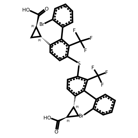 O=C(O)[C@@H]1C[C@H]1c1ccc(Sc2ccc([C@@H]3C[C@H]3C(=O)O)c(-c3ccccc3Br)c2C(F)(F)F)c(C(F)(F)F)c1-c1ccccc1Br